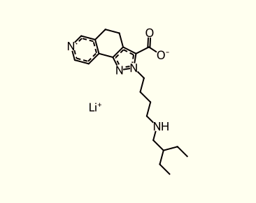 CCC(CC)CNCCCCn1nc2c(c1C(=O)[O-])CCc1cnccc1-2.[Li+]